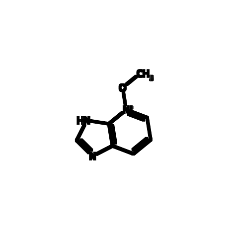 CO[n+]1cccc2nc[nH]c21